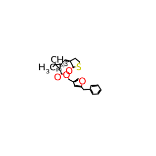 CC1(C)[C@H](C(=O)OCc2coc(Cc3ccccc3)c2)[C@@H]1C=C1CCSC1=O